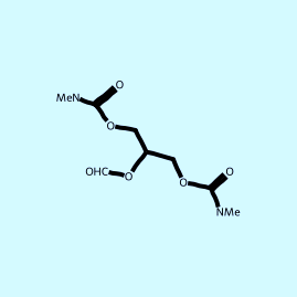 CNC(=O)OCC(COC(=O)NC)OC=O